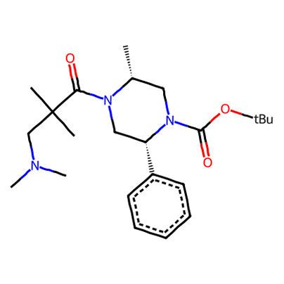 C[C@@H]1CN(C(=O)OC(C)(C)C)[C@H](c2ccccc2)CN1C(=O)C(C)(C)CN(C)C